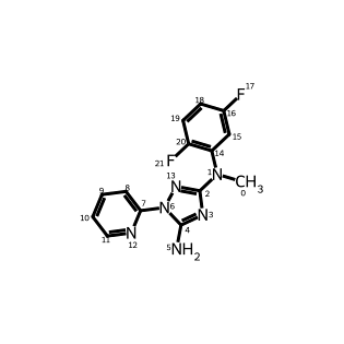 CN(c1nc(N)n(-c2ccccn2)n1)c1cc(F)ccc1F